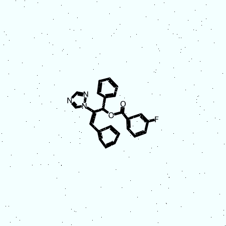 O=C(OC(/C(=C\c1ccccc1)n1cncn1)c1ccccc1)c1cccc(F)c1